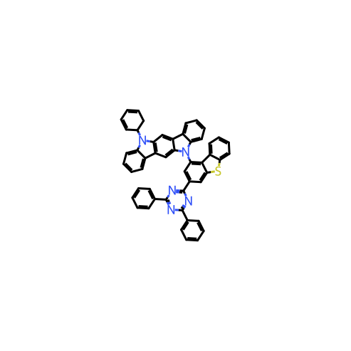 C1=CCC(n2c3ccccc3c3cc4c(cc32)c2ccccc2n4-c2cc(-c3nc(-c4ccccc4)nc(-c4ccccc4)n3)cc3sc4ccccc4c23)C=C1